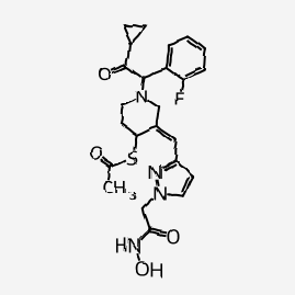 CC(=O)SC1CCN(C(C(=O)C2CC2)c2ccccc2F)CC1=Cc1ccn(CC(=O)NO)n1